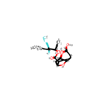 O=C(OC(C(F)(F)F)C(F)(F)S(=O)(=O)O)C1C2CC3OC(=O)C1C3O2